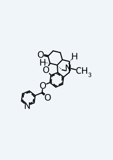 CN1CC[C@]23c4c5ccc(OC(=O)c6cccnc6)c4O[C@H]2C(=O)CCC3[C@H]1C5